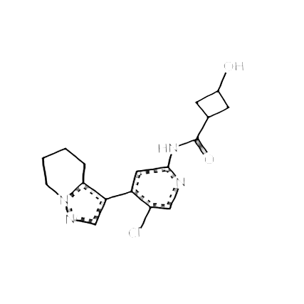 O=C(Nc1cc(-c2cnn3c2CCCC3)c(Cl)cn1)C1CC(O)C1